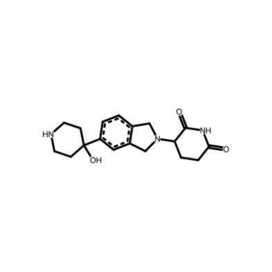 O=C1CCC(N2Cc3ccc(C4(O)CCNCC4)cc3C2)C(=O)N1